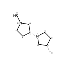 C[C@H]1CCN([C@@H]2CCN(S)C2)C1